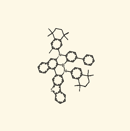 Cc1cc2c(cc1N1c3ccc(-c4ccccc4)cc3B3c4c1cc1ccccc1c4-c1cc4sc5ccccc5c4cc1N3c1ccc3c(c1)C(C)(C)CCC3(C)C)C(C)(C)CCC2(C)C